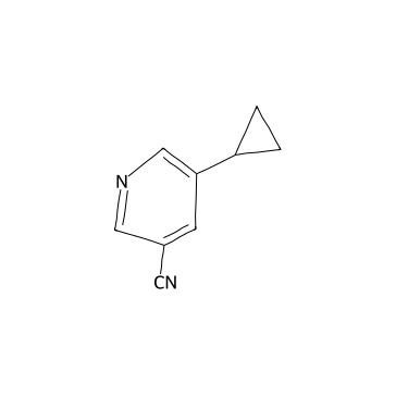 N#Cc1cncc(C2CC2)c1